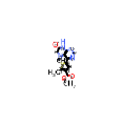 COC(=O)c1cc(-c2ncnc3c2N(C)CC(=O)N3)sc1C